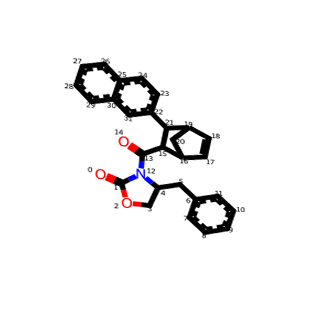 O=C1OCC(Cc2ccccc2)N1C(=O)C1C2C=CC(C2)C1c1ccc2ccccc2c1